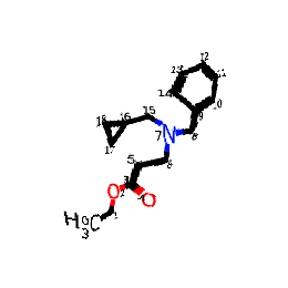 CCOC(=O)CCN(Cc1ccccc1)CC1CC1